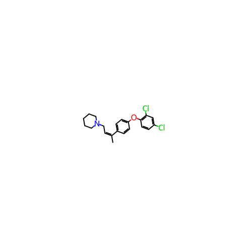 CC(=CCN1CCCCC1)c1ccc(Oc2ccc(Cl)cc2Cl)cc1